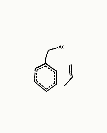 C=CC.CC(=O)Cc1ccccc1